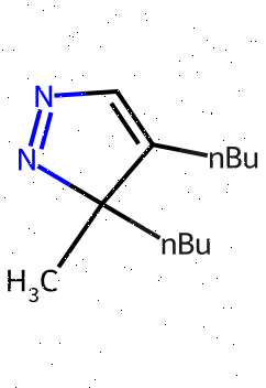 CCCCC1=CN=NC1(C)CCCC